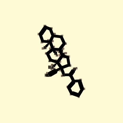 C#C[C@]1(OC(=O)c2ccccc2)CC[C@H]2[C@@H]3CCC4CC=CC[C@@H]4[C@H]3CC[C@@]21C